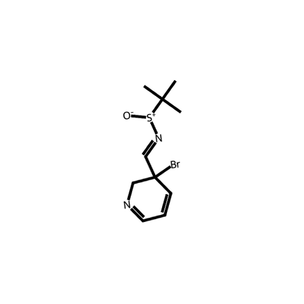 CC(C)(C)[S+]([O-])N=CC1(Br)C=CC=NC1